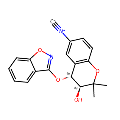 [C-]#[N+]c1ccc2c(c1)[C@@H](Oc1noc3ccccc13)[C@H](O)C(C)(C)O2